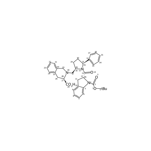 CC(C)(C)OC(=O)N1c2ccccc2C[C@@H]1C(=O)N1[C@@H](CN2Cc3ccccc3C[C@@H]2C(=O)O)CC[C@H]1c1ccccc1